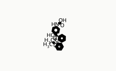 CC(C)(C)[Si](OCC1(O)CCC(NC(=O)O)CC1)(c1ccccc1)c1ccccc1